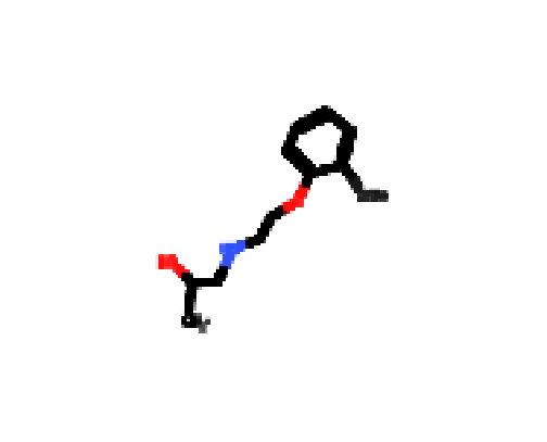 [CH2]C(O)CNCCOc1ccccc1OC